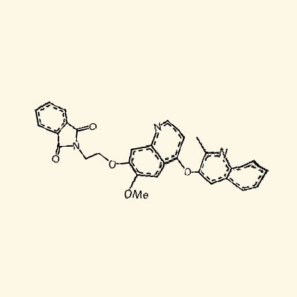 COc1cc2c(Oc3cc4ccccc4nc3C)ccnc2cc1OCCN1C(=O)c2ccccc2C1=O